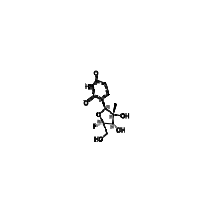 C[C@]1(O)[C@H](n2ccc(=O)[nH]c2=O)O[C@](F)(CO)[C@H]1O